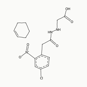 C1=CCCCC1.O=C(O)CNNC(=O)Cc1ccc(Cl)cc1[N+](=O)[O-]